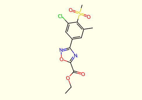 CCOC(=O)c1nc(-c2cc(C)c(S(C)(=O)=O)c(Cl)c2)no1